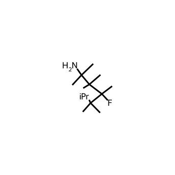 CC(C)C(C)(C)C(C)(F)C(C)(C)C(C)(C)N